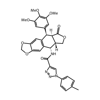 COc1cc([C@@H]2c3cc4c(cc3[C@@H](NC(=O)c3cn(-c5ccc(C)cc5)nn3)[C@H]3COC(=O)[C@H]23)OCO4)cc(OC)c1OC